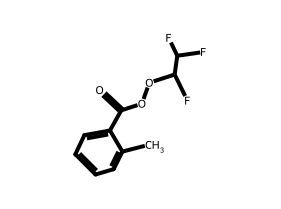 Cc1ccccc1C(=O)OOC(F)C(F)F